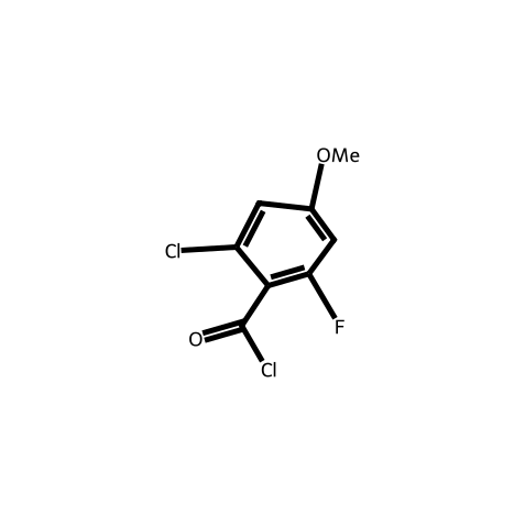 COc1cc(F)c(C(=O)Cl)c(Cl)c1